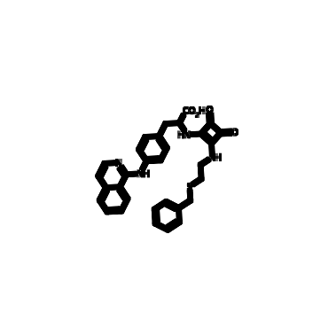 O=C(O)C(Cc1ccc(Nc2nccc3ccccc23)cc1)Nc1c(NCCSCc2ccccc2)c(=O)c1=O